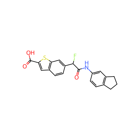 O=C(O)c1cc2ccc(C(F)C(=O)Nc3ccc4c(c3)CCC4)cc2s1